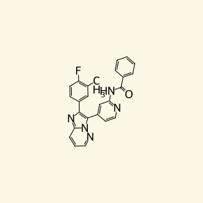 Cc1cc(-c2nc3cccnn3c2-c2ccnc(NC(=O)c3ccccc3)c2)ccc1F